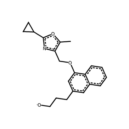 Cc1oc(C2CC2)nc1COc1cc(CCC[O])cc2ccccc12